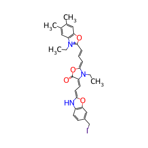 CCn1c(=CC=Cc2oc3cc(C)c(C)cc3[n+]2CC)oc(=O)c1=CC=C1Nc2ccc(CI)cc2O1